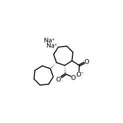 O=C([O-])C1CCCC[C@@H](C2CCCCCC2)[C@H]1C(=O)[O-].[Na+].[Na+]